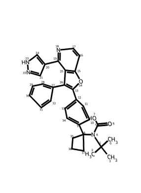 CC(C)(C)N(C(=O)O)C1(c2ccc(-c3oc4ccnc(-c5cn[nH]c5)c4c3-c3ccccc3)cc2)CCC1